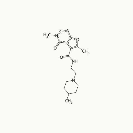 Cc1oc2ncn(C)c(=O)c2c1C(=O)NCCN1CCC(C)CC1